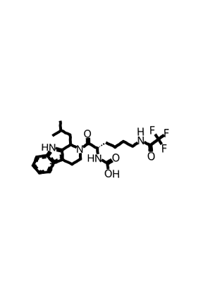 CC(C)CC1c2[nH]c3ccccc3c2CCN1C(=O)[C@H](CCCCNC(=O)C(F)(F)F)NC(=O)O